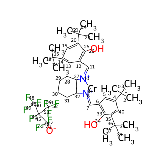 CC(C)(C)c1cc(C=[N+]2[Cr][N+](=Cc3cc(C(C)(C)C)cc(C(C)(C)C)c3O)C3CCCCC32)c(O)c(C(C)(C)C)c1.[O-]C(F)(F)C(F)(C(F)(F)F)C(F)(F)F